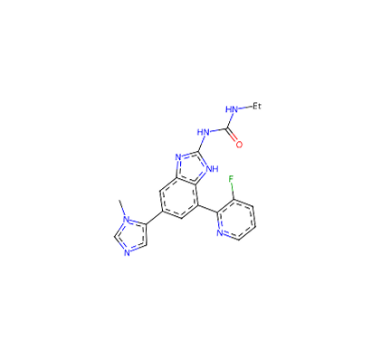 CCNC(=O)Nc1nc2cc(-c3cncn3C)cc(-c3ncccc3F)c2[nH]1